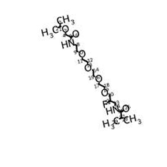 CC(C)OCC(=O)NCCOCCOCCOCCOCC(F)CNC(=O)C(C)C